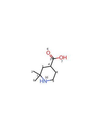 CC1(C)CC(C(=O)O)CCN1